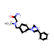 NC(=O)CN(Cc1ccc(-n2cnc(-c3ccccc3)c2)cc1)C(=O)O